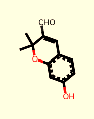 CC1(C)Oc2cc(O)ccc2C=C1C=O